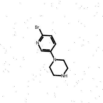 Brc1ccc(N2CCNCC2)cn1